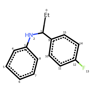 [CH2]CC(Nc1ccccc1)c1ccc(F)cc1